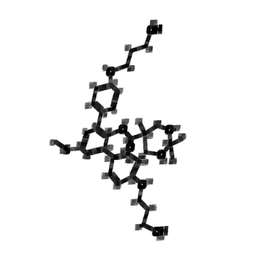 CSc1cc(-c2ccc(OCCCO)cc2)c(OC(=O)C2(C)COC(C)(C)OC2)c(-c2ccc(OCCCO)cc2)c1